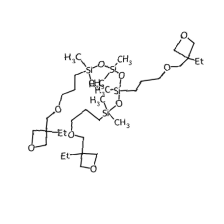 CCC1(COCCC[Si](C)(C)O[Si](C)(C)O[Si](C)(CCCOCC2(CC)COC2)O[Si](C)(C)CCCOCC2(CC)COC2)COC1